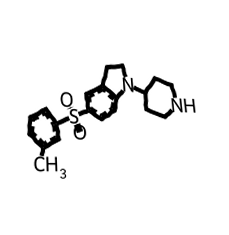 Cc1cccc(S(=O)(=O)c2ccc3c(c2)CCN3C2CCNCC2)c1